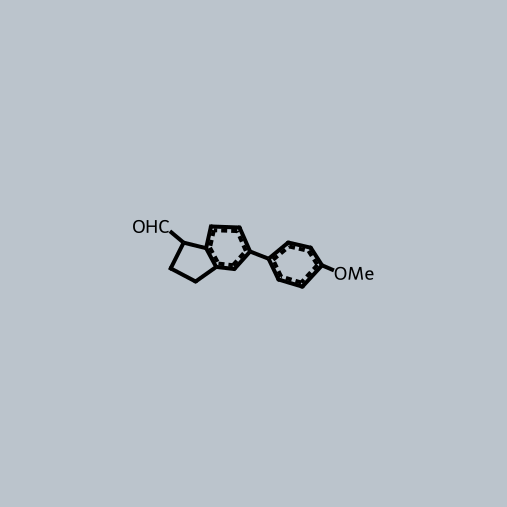 COc1ccc(-c2ccc3c(c2)CCC3C=O)cc1